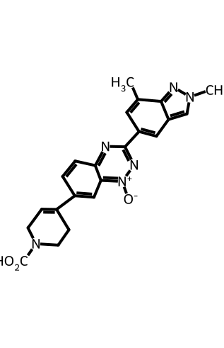 Cc1cc(-c2nc3ccc(C4=CCN(C(=O)O)CC4)cc3[n+]([O-])n2)cc2cn(C)nc12